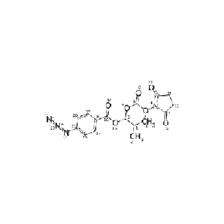 CC(C)C(OC(=O)ON1C(=O)CCC1=O)OC(=O)c1ccc(N=[N+]=[N-])cc1